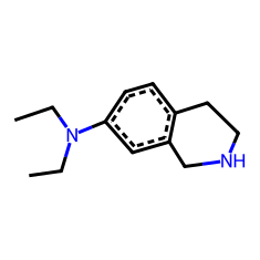 CCN(CC)c1ccc2c(c1)CNCC2